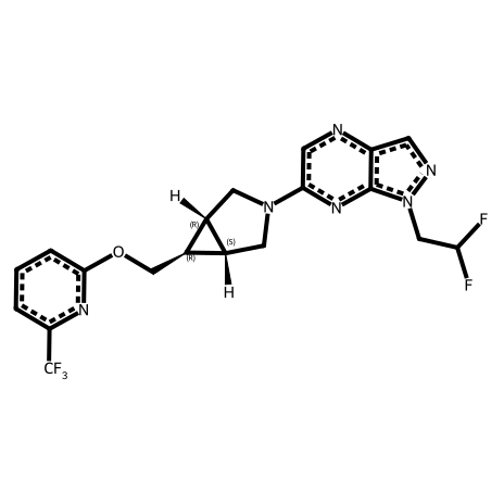 FC(F)Cn1ncc2ncc(N3C[C@@H]4[C@@H](COc5cccc(C(F)(F)F)n5)[C@@H]4C3)nc21